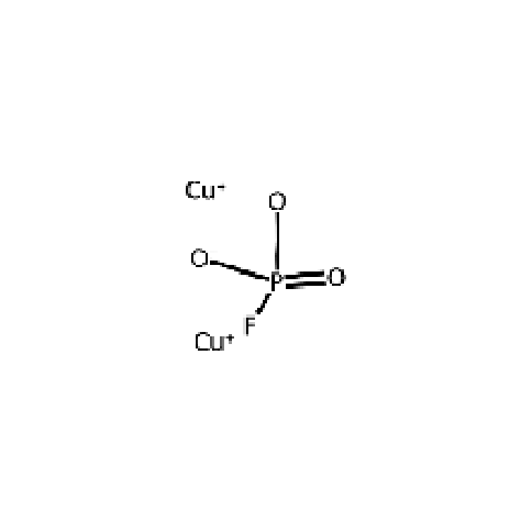 O=P([O-])([O-])F.[Cu+].[Cu+]